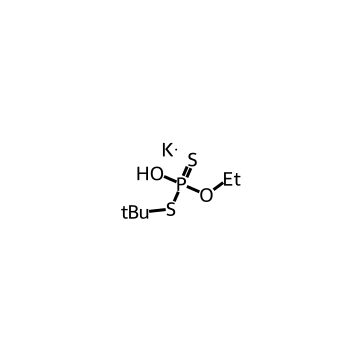 CCOP(O)(=S)SC(C)(C)C.[K]